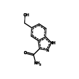 NC(=O)c1n[nH]c2ccc(CO)cc12